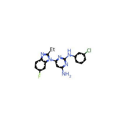 CCc1nc2ccc(F)cc2n1-c1cc(N)nc(Nc2cccc(Cl)c2)n1